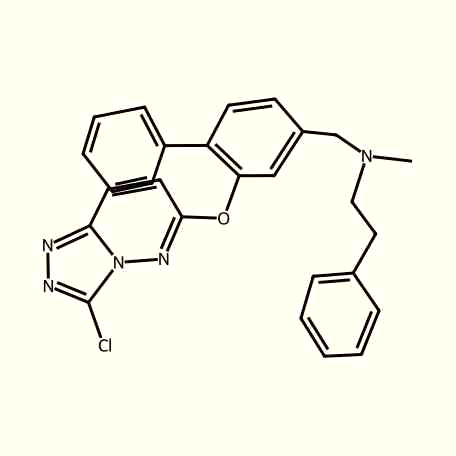 CN(CCc1ccccc1)Cc1ccc(-c2ccccc2)c(Oc2ccc3nnc(Cl)n3n2)c1